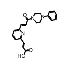 O=C(O)/C=C/c1cccc(/C=C/C(=O)N2CCN(c3ccccc3)CC2)n1